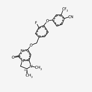 C[C@H]1Cn2c(cc(OCc3ccc(Oc4ccc(C#N)c(C(F)(F)F)c4)c(F)c3)nc2=O)N1C